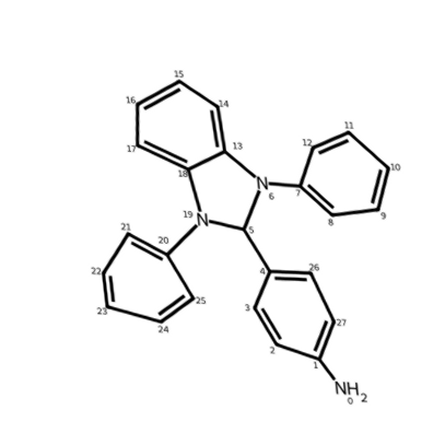 Nc1ccc(C2N(c3ccccc3)c3ccccc3N2c2ccccc2)cc1